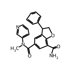 CN(C(=O)c1cc(C(N)=O)c2c(c1)C(c1ccccc1)CO2)c1cccnc1